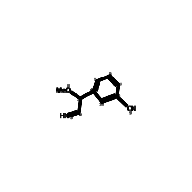 COC(C=N)c1cccc(C#N)c1